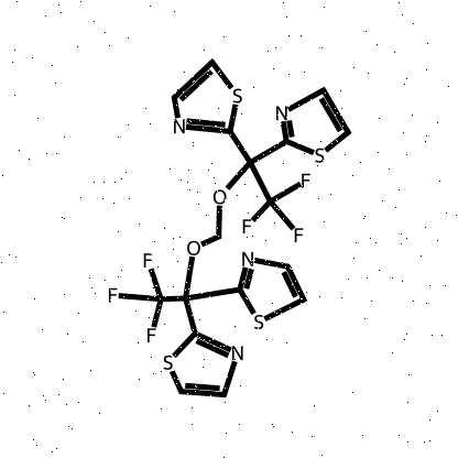 FC(F)(F)C(OCOC(c1nccs1)(c1nccs1)C(F)(F)F)(c1nccs1)c1nccs1